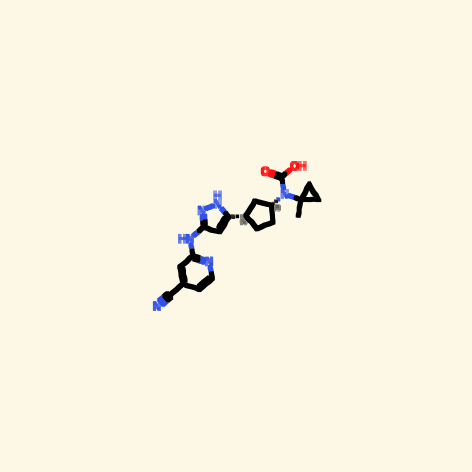 CC1(N(C(=O)O)[C@@H]2CC[C@H](c3cc(Nc4cc(C#N)ccn4)n[nH]3)C2)CC1